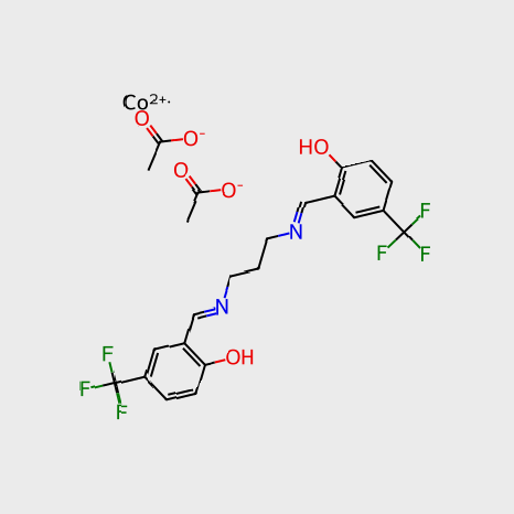 CC(=O)[O-].CC(=O)[O-].Oc1ccc(C(F)(F)F)cc1C=NCCCN=Cc1cc(C(F)(F)F)ccc1O.[Co+2]